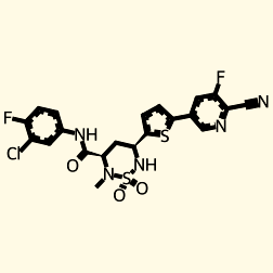 CN1[C@@H](C(=O)Nc2ccc(F)c(Cl)c2)C[C@@H](c2ccc(-c3cnc(C#N)c(F)c3)s2)NS1(=O)=O